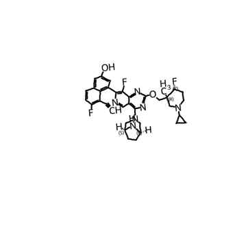 C#Cc1c(F)ccc2cc(O)cc(-c3ncc4c(N5C[C@H]6CC[C@@H](C5)N6)nc(OC[C@@]5(C)CN(C6CC6)CC[C@H]5F)nc4c3F)c12